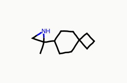 CC1(C2CCC3(CCC3)CC2)CN1